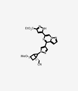 CCOC(=O)c1cc(-c2cn3nccc3c(-c3cnn(C4C5[C@@H](OC)C[C@@]54CC#N)c3)n2)[nH]n1